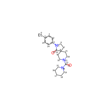 CCc1ccc(N2CCC3(CCN(C(=O)N4CCCCC4)CC3)C2=O)cc1